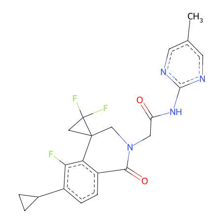 Cc1cnc(NC(=O)CN2CC3(CC3(F)F)c3c(ccc(C4CC4)c3F)C2=O)nc1